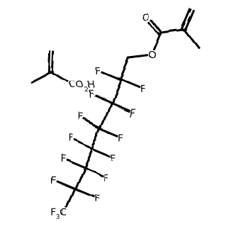 C=C(C)C(=O)O.C=C(C)C(=O)OCC(F)(F)C(F)(F)C(F)(F)C(F)(F)C(F)(F)C(F)(F)C(F)(F)F